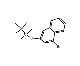 CC(C)(C)[Si](C)(C)Oc1cc(Br)c2ccccc2c1